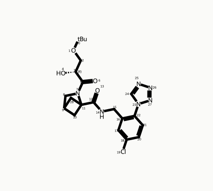 CC(C)(C)OC[C@@H](O)C(=O)N1CC2CC1(C(=O)NCc1cc(Cl)ccc1-n1cnnn1)C2